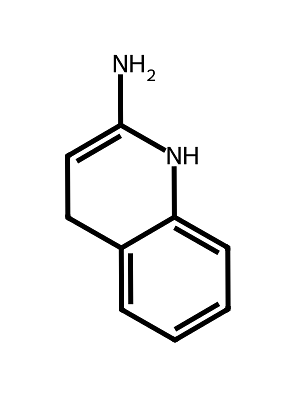 NC1=CCc2ccccc2N1